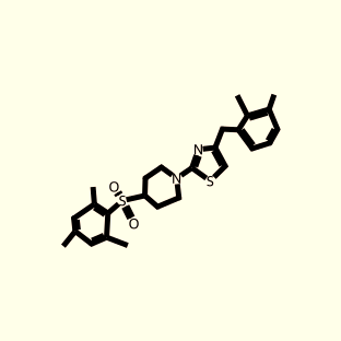 Cc1cc(C)c(S(=O)(=O)C2CCN(c3nc(Cc4cccc(C)c4C)cs3)CC2)c(C)c1